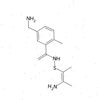 C=C(NS/C(C)=C(/C)N)c1cc(CN)ccc1C